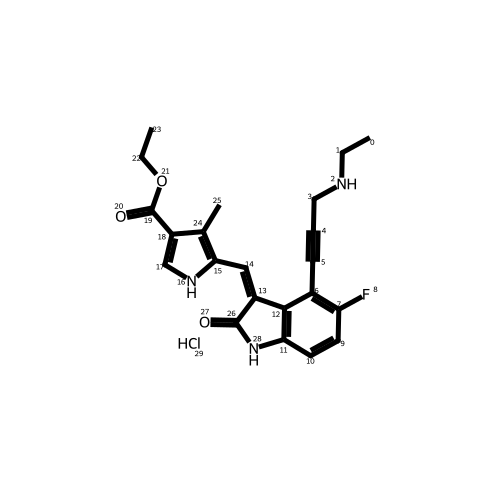 CCNCC#Cc1c(F)ccc2c1C(=Cc1[nH]cc(C(=O)OCC)c1C)C(=O)N2.Cl